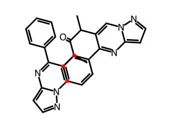 CC(C(=O)C(C)c1cn2nccc2nc1-c1ccccc1)c1cn2nccc2nc1-c1ccccc1